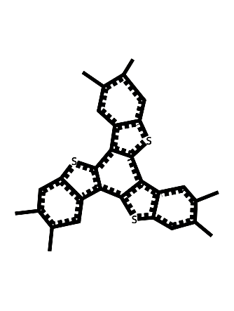 Cc1cc2sc3c(c2cc1C)c1sc2cc(C)c(C)cc2c1c1sc2cc(C)c(C)cc2c31